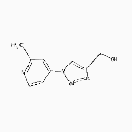 Cc1cc(-n2cc(CO)nn2)ccn1